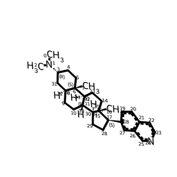 CN(C)[C@@H]1CC[C@@]2(C)[C@@H](CC[C@@H]3[C@@H]2CC[C@]2(C)[C@@H](c4ccc5ccncc5c4)CC[C@@H]32)C1